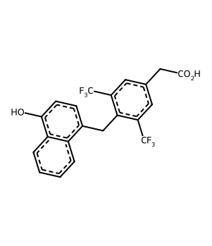 O=C(O)Cc1cc(C(F)(F)F)c(Cc2ccc(O)c3ccccc23)c(C(F)(F)F)c1